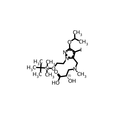 CC(C)Oc1nn(CCO[Si](C)(C)C(C)(C)C)c(CN(C)C[C@H](O)C(=O)O)c1I